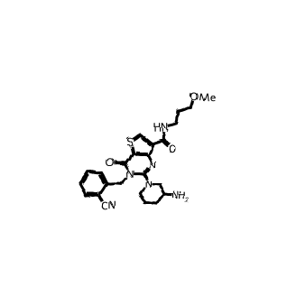 COCCCNC(=O)c1csc2c(=O)n(Cc3ccccc3C#N)c(N3CCCC(N)C3)nc12